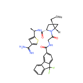 COC[C@@]12C[C@@H]1N(C(=O)CNC(=O)c1ccc3c(c1)-c1ccccc1C3(F)F)[C@H](C(=O)N[C@H](C)c1cc(C(=N)N)cs1)C2